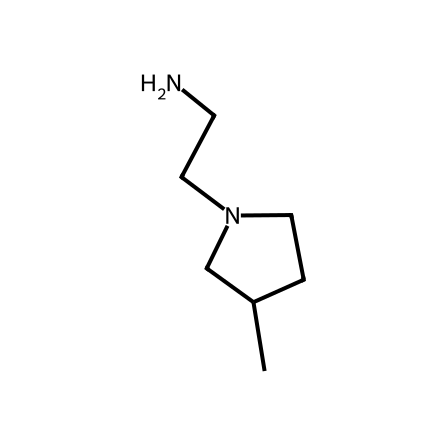 CC1CCN(CCN)C1